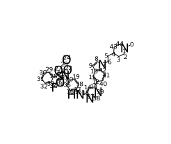 CN1CCC(CCn2ccc3cc(-c4cc(Nc5ccc(N(OC=O)S(=O)(=O)c6ccccc6F)cc5)ncn4)ccc32)CC1